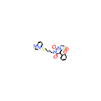 O=c1c(-c2ccccc2)c2n(c(=O)n1CCCCSc1cccc3nccn13)CCS2(=O)=O